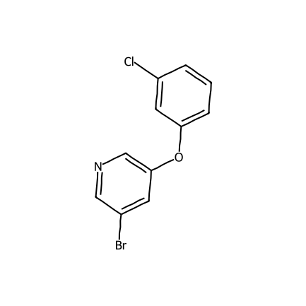 Clc1cccc(Oc2cncc(Br)c2)c1